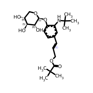 CC(C)(C)Nc1cc(/C=C/COC(=O)C(C)(C)C)ccc1O[C@@H]1OC[C@@H](O)[C@H](O)[C@H]1O